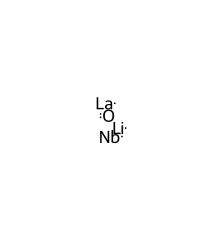 [La].[Li].[Nb].[O]